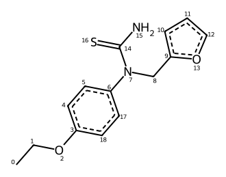 CCOc1ccc(N(Cc2ccco2)C(N)=S)cc1